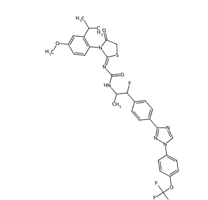 COc1ccc(N2C(=O)CS/C2=N\C(=O)NC(C)C(F)c2ccc(-c3ncn(-c4ccc(OC(F)(F)F)cc4)n3)cc2)c(C(C)C)c1